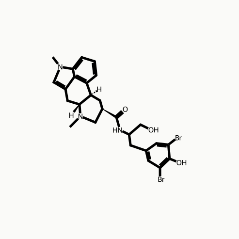 CN1C[C@H](C(=O)NC(CO)Cc2cc(Br)c(O)c(Br)c2)C[C@@H]2c3cccc4c3c(cn4C)C[C@H]21